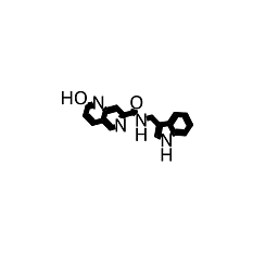 O=C(NCc1c[nH]c2ccccc12)c1cc2nc(O)ccc2cn1